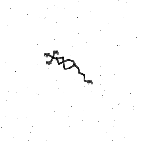 CCCCCN1CCC2(CC1)CN(C(C)(C)C)C2